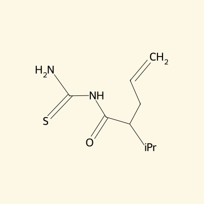 C=CCC(C(=O)NC(N)=S)C(C)C